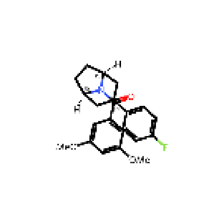 COc1cc(OC)cc(C(=O)N2[C@@H]3CC[C@H]2C[C@@H](c2ccc(F)cc2)C3)c1